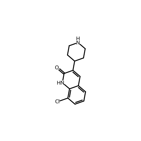 O=c1[nH]c2c(Cl)cccc2cc1C1CCNCC1